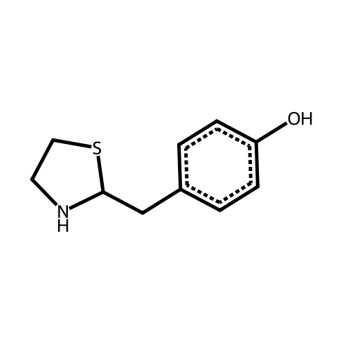 Oc1ccc(CC2NCCS2)cc1